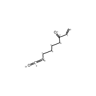 C=CC(=O)CCCCN=C=O